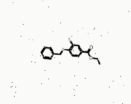 CCOC(=O)c1ccc(SCc2ccccc2)c(F)c1